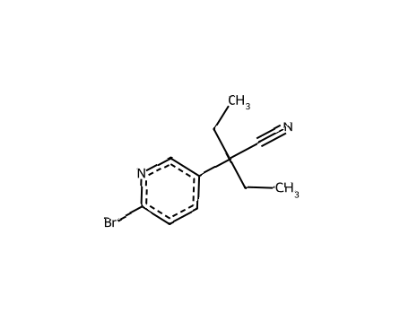 CCC(C#N)(CC)c1ccc(Br)nc1